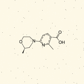 Cc1nc(N2CCO[C@H](C)C2)ccc1C(=O)O